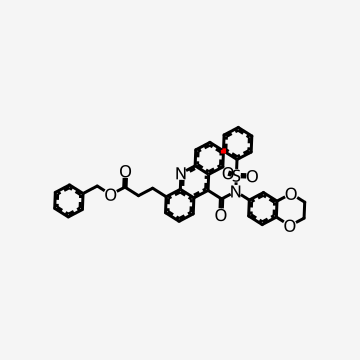 O=C(CCc1cccc2c(C(=O)N(c3ccc4c(c3)OCCO4)S(=O)(=O)c3ccccc3)c3ccccc3nc12)OCc1ccccc1